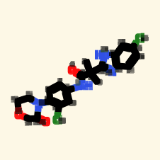 CC(C)(C(=O)Nc1ccc(N2CCOCC2=O)c(Cl)c1)c1nc2ccc(Cl)cc2[nH]1